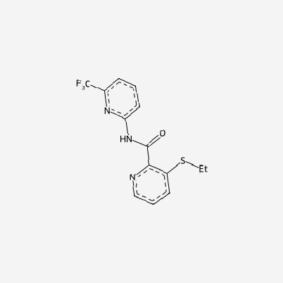 CCSc1cccnc1C(=O)Nc1cccc(C(F)(F)F)n1